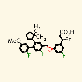 CC[C@H](CC(=O)O)c1cc(F)cc(OCc2cc([C@H]3CCCC3(C)C)c(-c3cc(OC)ccc3F)cc2F)c1